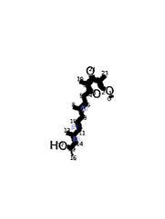 COc1oc(C/C=C(\C)C/C=C/C(C)=C/[C@@H](C)O)c(C)c(=O)c1C